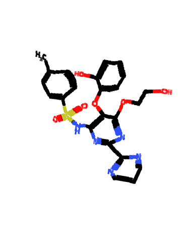 Cc1ccc(S(=O)(=O)Nc2nc(-c3ncccn3)nc(OCCO)c2Oc2ccccc2O)cc1